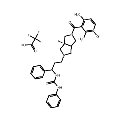 Cc1cc[n+]([O-])c(C)c1C(=O)N1CC2CN(CCC(NC(=O)Nc3ccccc3)c3ccccc3)C[C@H]2C1.O=C(O)C(F)(F)F